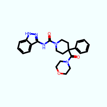 O=C(Nc1n[nH]c2ccccc12)N1CCC(C(=O)N2CCOCC2)(c2ccccc2)CC1